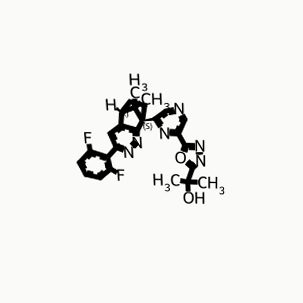 CC(C)(O)c1nnc(-c2cncc([C@@]34CC[C@@H](c5cc(-c6c(F)cccc6F)nnc53)C4(C)C)n2)o1